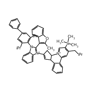 Cc1oc2ccccc2c1-c1n(-c2c(C(C)C)cc(-c3ccccc3)cc2C(C)C)c2ccccc2[n+]1C1=CC2c3ccccc3-c3cc(CC(C)C)c([Si](C)(C)C)c[n+]3C2C1